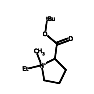 CC[N+]1(C)CCCC1C(=O)OC(C)(C)C